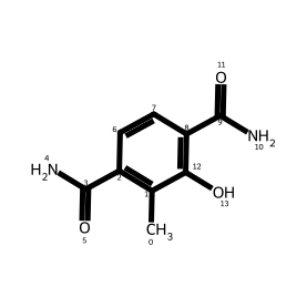 Cc1c(C(N)=O)ccc(C(N)=O)c1O